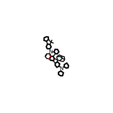 CC1(C)c2ccccc2-c2ccc(N(C3=CCCC=C3)c3ccccc3-c3cccc4c3C3(c5cc(N(c6ccccc6)c6ccccc6)ccc5-4)C4CC5CC(C4)CC3C5)cc21